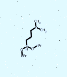 CCCO[SiH](CCCP(C)C)OCCC